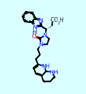 O=C(O)C[C@@H](c1nc2ccccc2[nH]1)N1CCN(CCCC2=CC=C3CCCNC3N2)C1=O